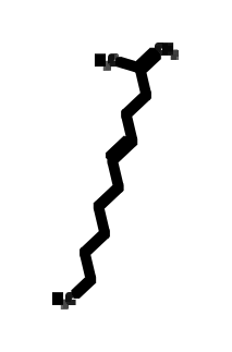 C=C(C)CCC=CCCCCCC